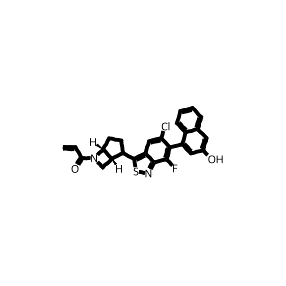 C=CC(=O)N1C[C@H]2C(c3snc4c(F)c(-c5cc(O)cc6ccccc56)c(Cl)cc34)CC[C@H]21